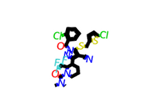 CN(C)C(=O)N1CCCC(c2nn(C(=O)c3ccccc3Cl)c(SCc3ccc(Cl)s3)c2C#N)C1C(F)(F)F